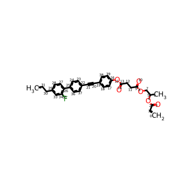 C=CC(=O)OC(C)COC(=O)CCC(=O)Oc1ccc(C#Cc2ccc(-c3ccc(CCC)cc3F)cc2)cc1